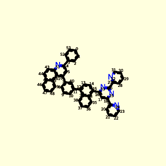 c1ccc(-c2cc(-c3cccc(-c4ccc(-c5cc(-c6ccccn6)nc(-c6ccccn6)n5)c5ccccc45)c3)c3c(ccc4ccccc43)n2)cc1